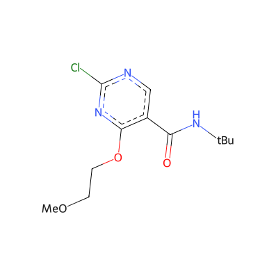 COCCOc1nc(Cl)ncc1C(=O)NC(C)(C)C